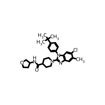 Cc1cc2nc(N3CCC(C(=O)NC4CCOC4)CC3)n(-c3ccc(C(C)(C)C)cc3)c2cc1Cl